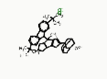 CC(C)(C)c1ccc2c(c1)C(C1(C)C3=C(CC(C45CC6CC(CC(C6)C4)C5)=C3)C3CCCC31)c1cc(C(C)(C)C)ccc1-2.[Cl-].[Cl-].[Zr+2]